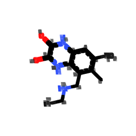 Cc1c([N+](=O)[O-])cc2[nH]c(=O)c(=O)[nH]c2c1CNCC(C)C